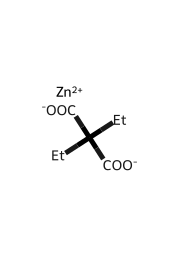 CCC(CC)(C(=O)[O-])C(=O)[O-].[Zn+2]